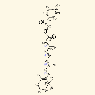 CC1=C(/C=C/C(C)=C/C=C/C(C)=C/C(=O)OCC(=O)c2ccc(C)cc2)C(C)(C)CCC1